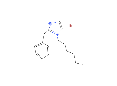 CCCCCC[n+]1cc[nH]c1Cc1ccccc1.[Br-]